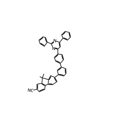 CC1(C)c2cc(C#N)ccc2-c2ccc(-c3cccc(-c4ccc(-c5cc(-c6ccccc6)nc(-c6ccccc6)n5)cc4)c3)cc21